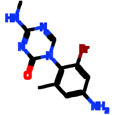 CNc1ncn(-c2c(C)cc(N)cc2Br)c(=O)n1